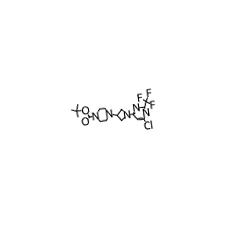 CC(C)(C)OC(=O)N1CCN(C2CN(c3cc(Cl)nc(C(F)(F)F)n3)C2)CC1